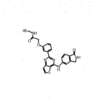 CC(C)(C)NC(=O)COc1cccc(-c2nc(Nc3ccc4c(c3)CNC4=O)c3sccc3n2)c1